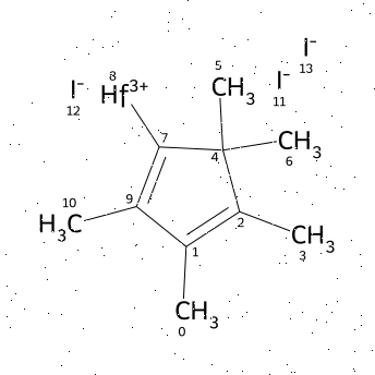 CC1=C(C)C(C)(C)[C]([Hf+3])=C1C.[I-].[I-].[I-]